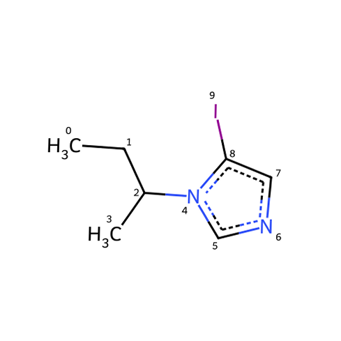 CCC(C)n1cncc1I